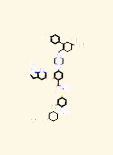 CO[C@H]1CC[C@H](Nc2ccc(S(=O)(=O)NC(=O)c3ccc(N4CCN(CC5=C(c6ccc(C(F)(F)F)cc6)CC(C)(C)CC5)CC4)cc3Oc3cnc4[nH]ccc4c3)cc2[N+](=O)[O-])CC1